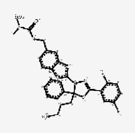 CON(C)C(=O)NCc1ccc2nc(N3N=C(c4cc(F)ccc4F)SC3(CCCN)c3ccccc3)sc2c1